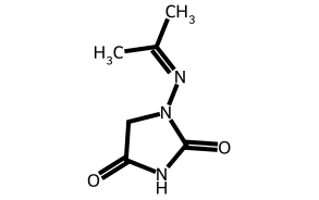 CC(C)=NN1CC(=O)NC1=O